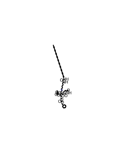 CC#CC#CC#CC#CC#CC#CC#CC#CC#CC#CNC(=O)NCCCC/C=C/C[C@H]1C(OP(=O)(O)OC)[C@@H](COC(=O)OCc2ccccc2)O[C@H]1n1ccc(=O)[nH]c1=O